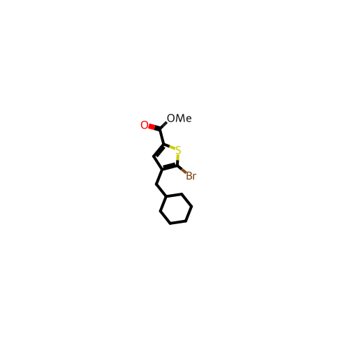 COC(=O)c1cc(CC2CCCCC2)c(Br)s1